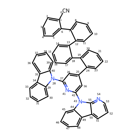 N#Cc1ccccc1-c1ccccc1-c1ccccc1-c1ccccc1-c1cc(-n2c3ccccc3c3ccccc32)nc(-n2c3ccccc3c3cccnc32)c1